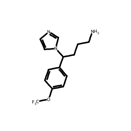 NCCCC(c1ccc(OC(F)(F)F)cc1)n1ccnc1